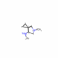 CC(C)NC1CN(C)CC12CC2